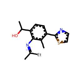 CC/C(C)=N\c1c(C(C)O)ccc(-c2nccs2)c1C